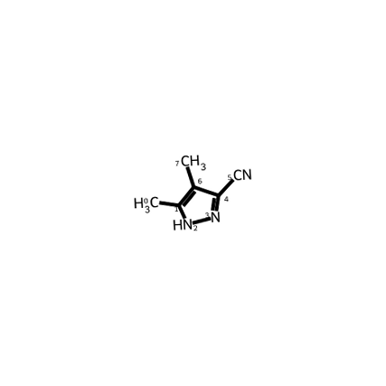 Cc1[nH]nc(C#N)c1C